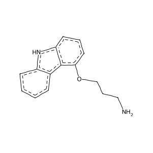 NCCCOc1cccc2[nH]c3ccccc3c12